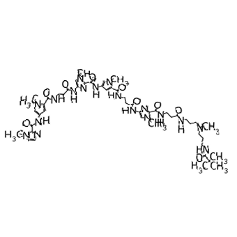 CN(CCCNC(=O)CCNC(=O)c1nc(NC(=O)CCNC(=O)c2cc(NC(=O)c3nc(NC(=O)CCNC(=O)c4cc(NC(=O)c5nccn5C)cn4C)cn3C)cn2C)cn1C)CCCNC(=O)C(C)(C)C